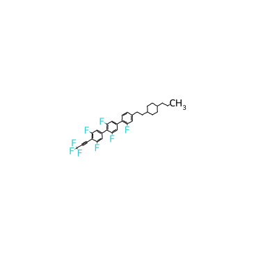 CCCC1CCC(CCc2ccc(-c3cc(F)c(-c4cc(F)c(C#CC(F)(F)F)c(F)c4)c(F)c3)c(F)c2)CC1